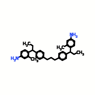 CCC(c1ccc(CCCc2ccc(C(CC)c3ccc(N)cc3C)cc2)cc1)c1ccc(N)cc1C